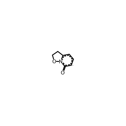 O=c1[c]ccc2n1OCC2